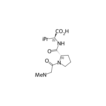 CNCC(=O)N1CCC[C@H]1C(=O)N[C@H](C(=O)O)C(C)C